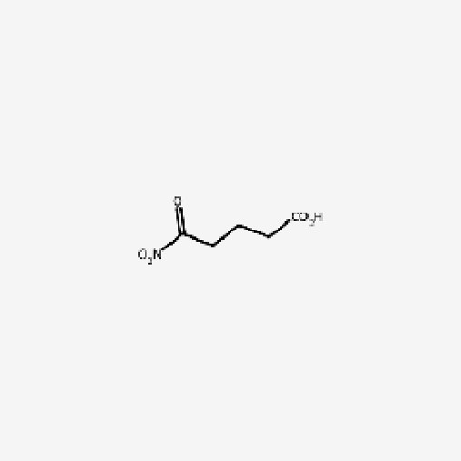 O=C(O)CCCC(=O)[N+](=O)[O-]